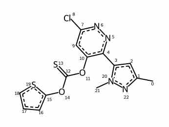 Cc1cc(-c2nnc(Cl)cc2OC(=S)Oc2cccs2)n(C)n1